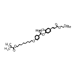 C=C(C)C(=O)OCCCCCCCCOc1ccc(C(=O)Oc2ccc(/C=C/C(=O)OCCOC)cc2OC)cc1